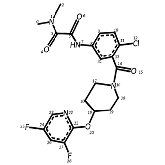 CN(C)C(=O)C(=O)Nc1ccc(Cl)c(C(=O)N2CCC(Oc3ncc(F)cc3F)CC2)c1